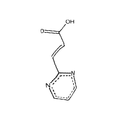 O=C(O)C=Cc1ncccn1